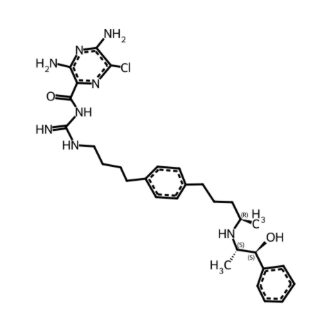 C[C@H](CCCc1ccc(CCCCNC(=N)NC(=O)c2nc(Cl)c(N)nc2N)cc1)N[C@@H](C)[C@@H](O)c1ccccc1